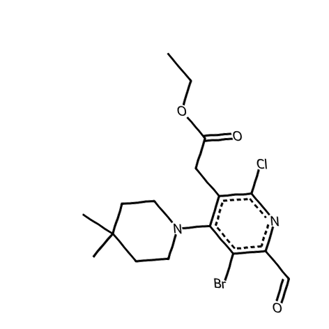 CCOC(=O)Cc1c(Cl)nc(C=O)c(Br)c1N1CCC(C)(C)CC1